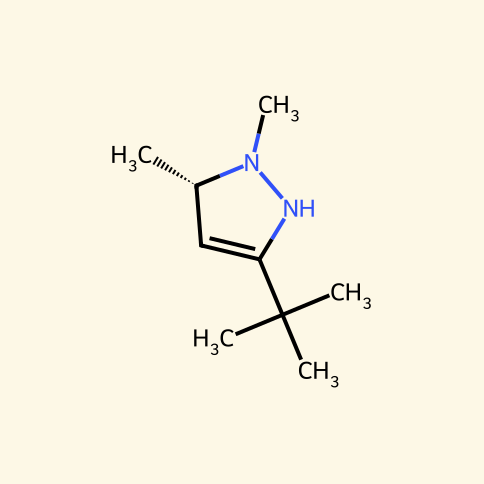 C[C@H]1C=C(C(C)(C)C)NN1C